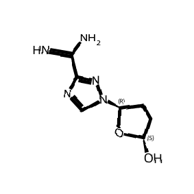 N=C(N)c1ncn([C@H]2CC[C@@H](O)O2)n1